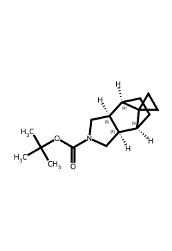 CC(C)(C)OC(=O)N1C[C@@H]2[C@H](C1)[C@@H]1CC[C@H]2C12CC2